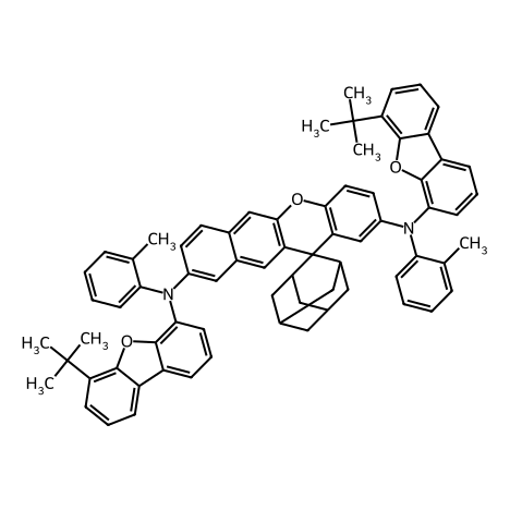 Cc1ccccc1N(c1ccc2c(c1)C1(c3cc4cc(N(c5ccccc5C)c5cccc6c5oc5c(C(C)(C)C)cccc56)ccc4cc3O2)C2CC3CC(C2)CC1C3)c1cccc2c1oc1c(C(C)(C)C)cccc12